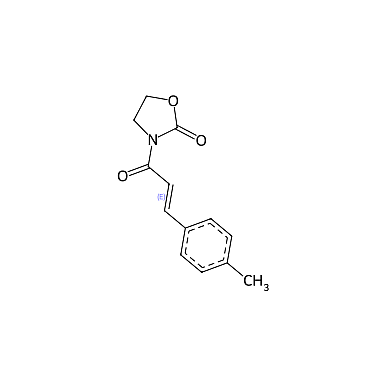 Cc1ccc(/C=C/C(=O)N2CCOC2=O)cc1